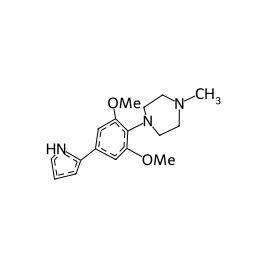 COc1cc(-c2ccc[nH]2)cc(OC)c1N1CCN(C)CC1